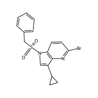 O=S(=O)(Cc1ccccc1)n1cc(C2CC2)c2nc(Br)ccc21